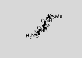 CSSC(C)(C)CNC(=O)c1cc(NC(=O)c2csc(N)n2)cn1C